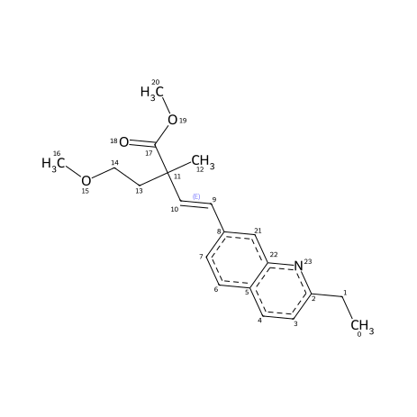 CCc1ccc2ccc(/C=C/C(C)(CCOC)C(=O)OC)cc2n1